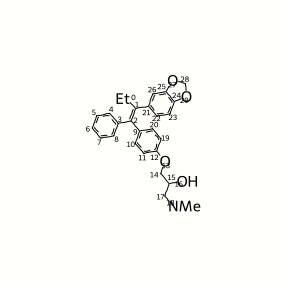 CCC(=C(c1ccccc1)c1ccc(OCC(O)CNC)cc1)c1ccc2c(c1)OCO2